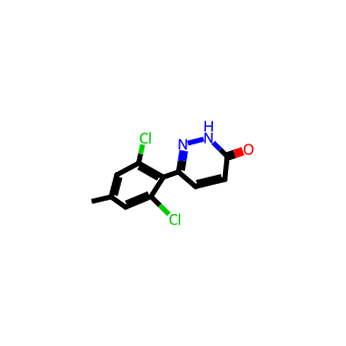 Cc1cc(Cl)c(-c2ccc(=O)[nH]n2)c(Cl)c1